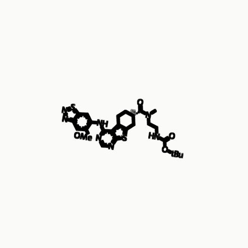 COc1cc2nnsc2cc1Nc1ncnc2sc3c(c12)CC[C@H](C(=O)N(C)CCNC(=O)OC(C)(C)C)C3